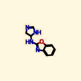 C1=NCC(Nc2nc3ccccc3o2)N1